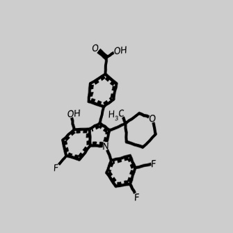 CC1(c2c(-c3ccc(C(=O)O)cc3)c3c(O)cc(F)cc3n2-c2ccc(F)c(F)c2)CCCOC1